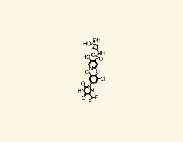 O=c1[nH]c(=O)n(-c2cc(Cl)c(Oc3cc(S(=O)(=O)NC4CS(O)(O)C4)c(O)cn3)c(Cl)c2)nc1C(F)F